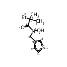 CCC(C)(C)C(=O)N(O)Cc1ccsc1